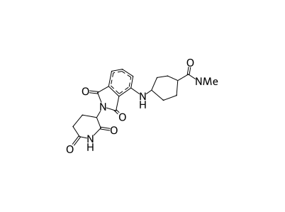 CNC(=O)C1CCC(Nc2cccc3c2C(=O)N(C2CCC(=O)NC2=O)C3=O)CC1